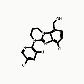 OCc1ccc(Cl)c2nc3n(c12)CCCN3c1ncc(Cl)cc1Cl